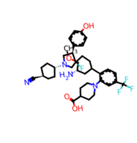 COC[C@@H](N)CC(CC[C@]1(F)CN([C@H]2CC[C@H](C#N)CC2)C[C@H]1c1ccc(O)cc1)c1ccc(C(F)(F)F)cc1N1CCC(C(=O)O)CC1